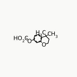 CC1(C)CCOc2cc(OC(=O)O)ccc21